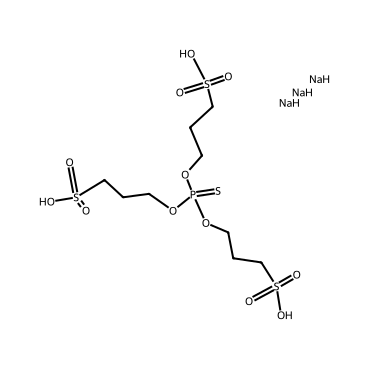 O=S(=O)(O)CCCOP(=S)(OCCCS(=O)(=O)O)OCCCS(=O)(=O)O.[NaH].[NaH].[NaH]